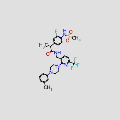 Cc1cccc(N2CCN(c3nc(C(F)(F)F)ccc3CNC(=O)C(C)c3ccc(NS(C)(=O)=O)c(F)c3)CC2)c1